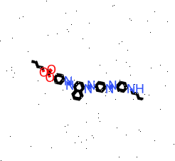 CCCCNc1ccc(/N=N/c2ccc(/N=N/c3ccc(/N=N/c4ccc(OC(=O)OCCCC)cc4)c4ccccc34)cc2)cc1